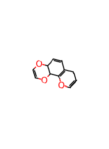 C1=COC2=C(C=CC3OC=COC23)C1